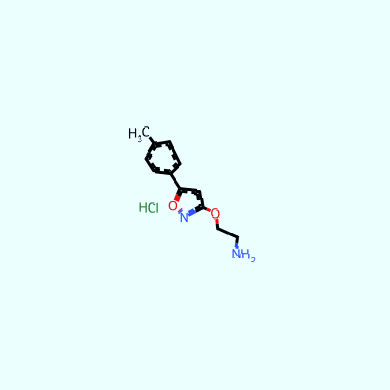 Cc1ccc(-c2cc(OCCN)no2)cc1.Cl